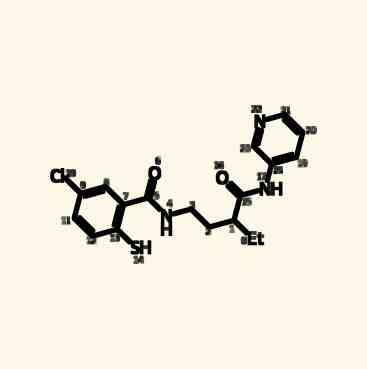 CCC(CCNC(=O)c1cc(Cl)ccc1S)C(=O)Nc1cccnc1